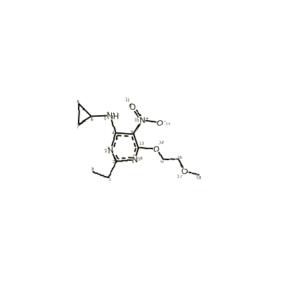 CCc1nc(NC2CC2)c([N+](=O)[O-])c(OCCOC)n1